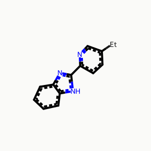 CCc1ccc(-c2nc3ccccc3[nH]2)nc1